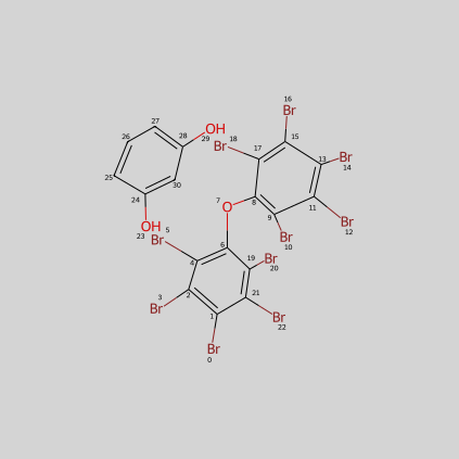 Brc1c(Br)c(Br)c(Oc2c(Br)c(Br)c(Br)c(Br)c2Br)c(Br)c1Br.Oc1cccc(O)c1